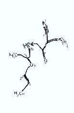 C=C(C#N)C(=O)NC(C)OCCC